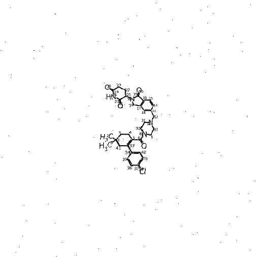 CC1(C)CCC(C(=O)N2CCN(Cc3ccc4c(c3)CN(C3CCC(=O)NC3=O)C4=O)CC2)=C(c2ccc(Cl)cc2)C1